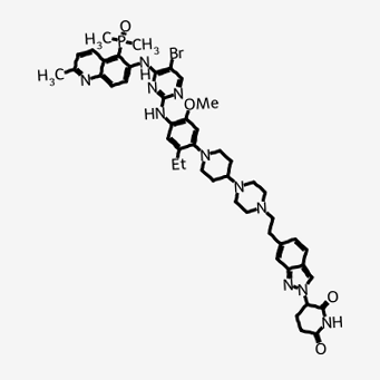 CCc1cc(Nc2ncc(Br)c(Nc3ccc4nc(C)ccc4c3P(C)(C)=O)n2)c(OC)cc1N1CCC(N2CCN(CCc3ccc4cn(C5CCC(=O)NC5=O)nc4c3)CC2)CC1